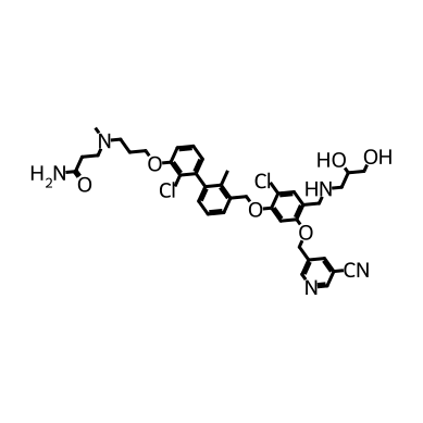 Cc1c(COc2cc(OCc3cncc(C#N)c3)c(CNCC(O)CO)cc2Cl)cccc1-c1cccc(OCCCN(C)CCC(N)=O)c1Cl